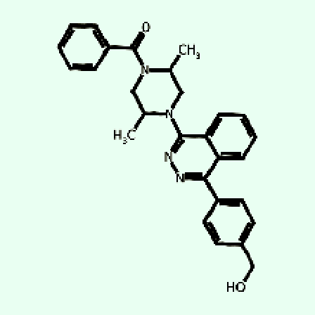 CC1CN(c2nnc(-c3ccc(CO)cc3)c3ccccc23)C(C)CN1C(=O)c1ccccc1